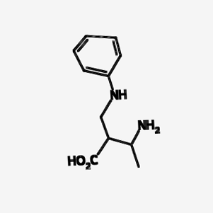 CC(N)C(CNc1ccccc1)C(=O)O